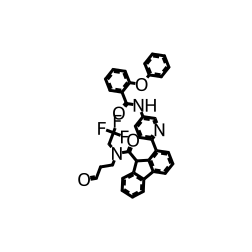 O=CCCN(CC(F)(F)F)C(=O)C1c2ccccc2-c2cccc(-c3ccc(NC(=O)c4ccccc4Oc4ccccc4)cn3)c21